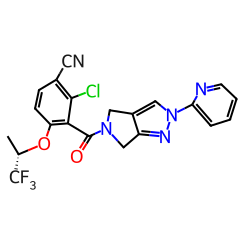 C[C@H](Oc1ccc(C#N)c(Cl)c1C(=O)N1Cc2cn(-c3ccccn3)nc2C1)C(F)(F)F